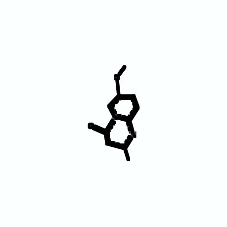 COc1ccc2nc(C)cc(=O)n2c1